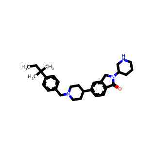 CCC(C)(C)c1ccc(CN2CCC(c3ccc4c(c3)CN(C3CCCNC3)C4=O)CC2)cc1